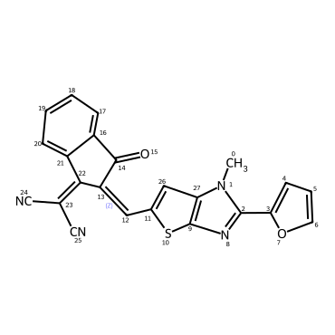 Cn1c(-c2ccco2)nc2sc(/C=C3\C(=O)c4ccccc4C3=C(C#N)C#N)cc21